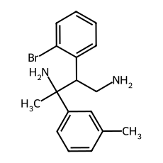 Cc1cccc(C(C)(N)C(CN)c2ccccc2Br)c1